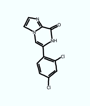 O=c1[nH]c(-c2ccc(Cl)cc2Cl)cn2ccnc12